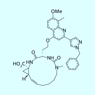 COc1ccc2c(OCC[C@@H]3NC(=O)N(C)CCCCC=C[C@@H]4C[C@@]4(C(=O)O)NC3=O)cc(-c3cnn(Cc4ccccc4)c3)nc2c1C